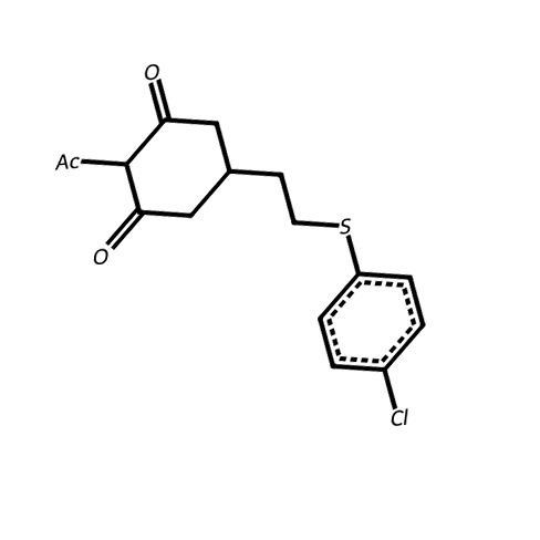 CC(=O)C1C(=O)CC(CCSc2ccc(Cl)cc2)CC1=O